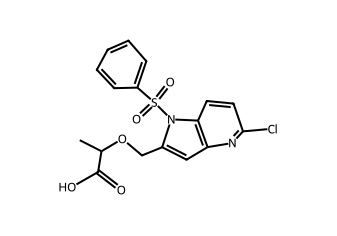 CC(OCc1cc2nc(Cl)ccc2n1S(=O)(=O)c1ccccc1)C(=O)O